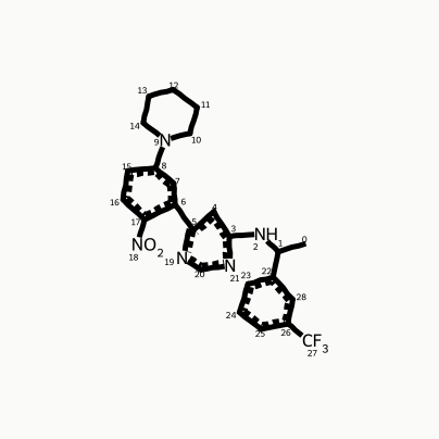 CC(Nc1cc(-c2cc(N3CCCCC3)ccc2[N+](=O)[O-])ncn1)c1cccc(C(F)(F)F)c1